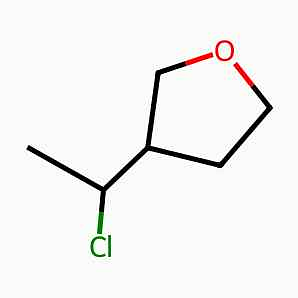 CC(Cl)C1CCOC1